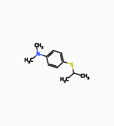 CC(C)Sc1ccc(N(C)C)cc1